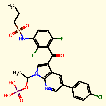 CCCS(=O)(=O)Nc1ccc(F)c(C(=O)c2cn(C(C)OP(=O)(O)O)c3ncc(-c4ccc(Cl)cc4)cc23)c1F